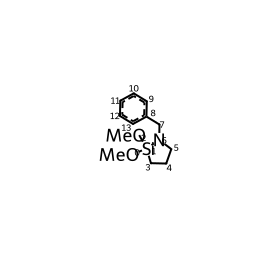 CO[Si]1(OC)CCCN1Cc1ccccc1